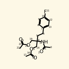 CC(=O)NC(CCc1ccc(F)cc1)(COC(C)=O)COC(C)=O